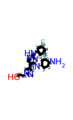 N[C@H]1CC[C@H](Nc2nc(Nc3cc(F)cc(F)c3)ncc2-c2cnn(CCO)c2)CC1